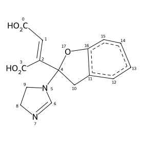 O=C(O)C=C(C(=O)O)C1(N2C=NCC2)Cc2ccccc2O1